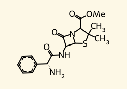 [CH2]OC(=O)C1N2C(=O)C(NC(=O)[C@H](N)c3ccccc3)C2SC1(C)C